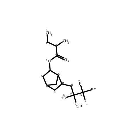 CCC(C)C(=O)OC1CC2CC(CC(C)(O)C(F)(F)F)C1C2